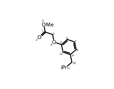 COC(=O)COc1cccc(CC(C)C)c1